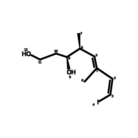 CC(/C=C\I)=C\[C@H](C)[C@@H](O)CCO